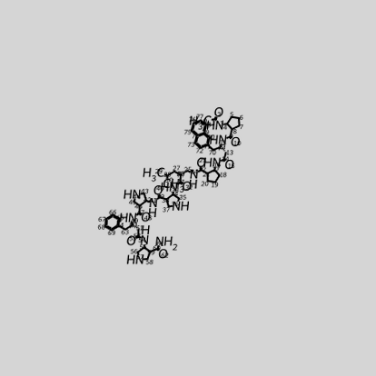 CC(=O)NC1CCCC1C(=O)N[C@H](CC(=O)NC1CCCC1C(=O)NC[C@H](CC(C)C)C(=O)NC1CNCC1C(=O)NC1CNCC1C(=O)N[C@H](CC(=O)NC1CNCC1C(N)=O)Cc1ccccc1)Cc1ccc2ccccc2c1